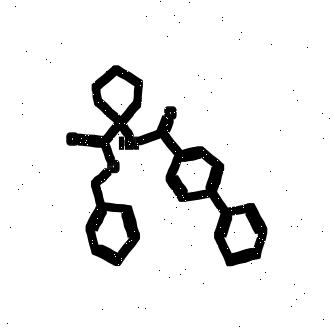 O=C(NC1(C(=O)OCc2ccccc2)CCCCC1)c1ccc(-c2ccccc2)cc1